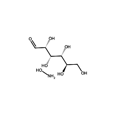 NO.O=C[C@H](O)[C@@H](O)[C@H](O)[C@H](O)CO